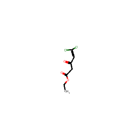 CCOC(=O)CC(=O)C=C(Cl)Cl